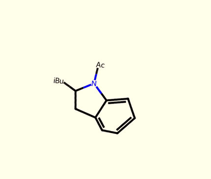 CCC(C)C1Cc2ccccc2N1C(C)=O